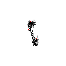 COC(=O)N[C@H](C(=O)N1[C@H](c2ncc(-c3ccc(-c4ccc5cc(-c6cnc([C@@H]7C[C@@H]8C[C@@H]8N7C(=O)[C@@H](NC(=O)OC)C(C)C)[nH]6)ccc5c4)cc3)[nH]2)C[C@@H]2C[C@@H]21)C(C)C